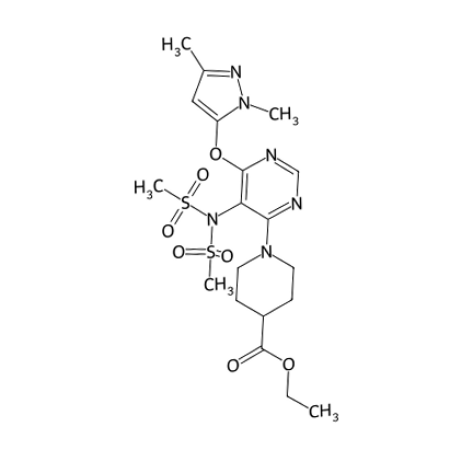 CCOC(=O)C1CCN(c2ncnc(Oc3cc(C)nn3C)c2N(S(C)(=O)=O)S(C)(=O)=O)CC1